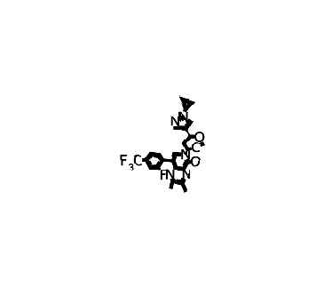 Cc1nc2c(-c3ccc(C(F)(F)F)cc3F)cn([C@@H]3CCO[C@H](c4cnn(C5CC5)c4)C3)c(=O)c2nc1C